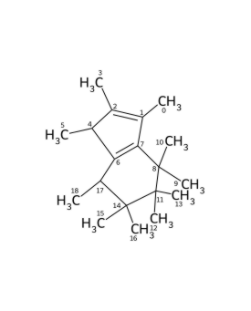 CC1=C(C)C(C)C2=C1C(C)(C)C(C)(C)C(C)(C)C2C